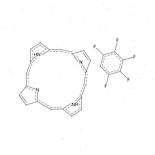 C1=Cc2cc3ccc(cc4nc(cc5ccc(cc1n2)[nH]5)C=C4)[nH]3.Fc1cc(F)c(F)c(F)c1F